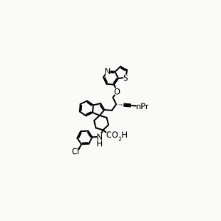 CCCC#C[C@@H](COc1ccnc2ccsc12)CC1=Cc2ccccc2C12CCC(Nc1cccc(Cl)c1)(C(=O)O)CC2